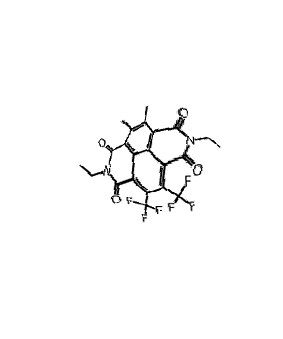 CCN1C(=O)c2c(C)c(C)c3c4c(c(C(F)(F)F)c(C(F)(F)F)c(c24)C1=O)C(=O)N(CC)C3=O